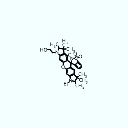 CCN1c2cc3c(cc2C(C)(C)C1C)C1(c2cc4c(cc2O3)N(CCO)C(C)C4(C)C)c2ccccc2S(=O)(=O)N1C